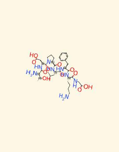 CC(C)C[C@H](NC(=O)[C@@H]1CCCN1C(=O)[C@H](CC(=O)O)NC(=O)[C@@H](N)[C@@H](C)O)C(=O)N[C@@H](Cc1ccccc1)C(=O)N[C@@H](CCCCN)C(=O)NCC(=O)O